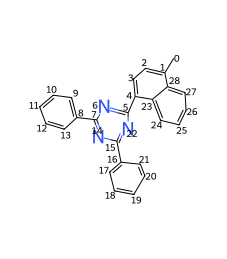 Cc1ccc(-c2nc(-c3ccccc3)nc(-c3ccccc3)n2)c2ccccc12